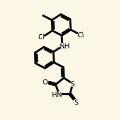 Cc1ccc(Cl)c(Nc2ccccc2C=C2SC(=S)NC2=O)c1Cl